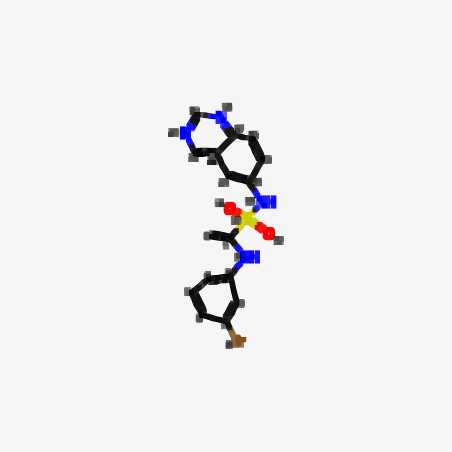 C=C(Nc1cccc(Br)c1)S(=O)(=O)Nc1ccc2ncncc2c1